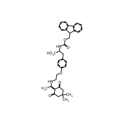 CC(NCCOc1ccc(CC(NC(=O)OCC2c3ccccc3-c3ccccc32)C(=O)O)cc1)=C1C(=O)CC(C)(C)CC1=O